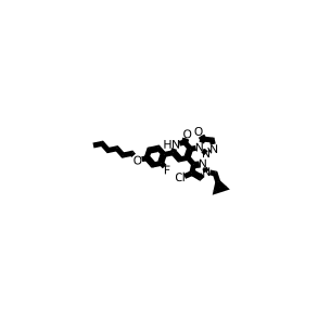 CCCCCCOc1ccc(-c2cc(-c3nn(CC4CC4)cc3Cl)c(N3N=NCC3=O)c(=O)[nH]2)c(F)c1